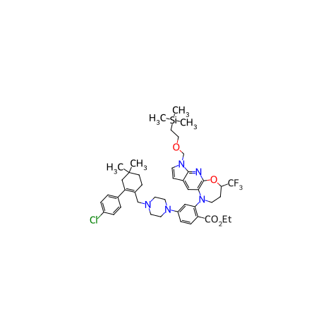 CCOC(=O)c1ccc(N2CCN(CC3=C(c4ccc(Cl)cc4)CC(C)(C)CC3)CC2)cc1N1CCC(C(F)(F)F)Oc2nc3c(ccn3COCC[Si](C)(C)C)cc21